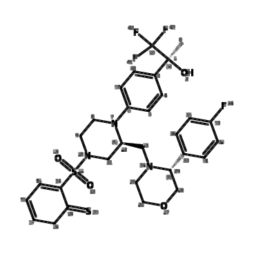 C[C@](O)(c1ccc(N2CCN(S(=O)(=O)C3=CC=CCC3=S)C[C@@H]2CN2CCOC[C@H]2c2ccc(F)cc2)cc1)C(F)(F)F